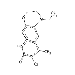 O=c1[nH]c2cc3c(cc2c(C(F)(F)F)c1Cl)N(CC(F)(F)F)CCO3